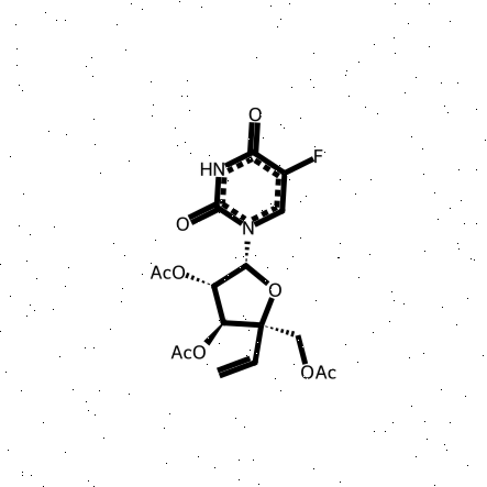 C=C[C@]1(COC(C)=O)O[C@@H](n2cc(F)c(=O)[nH]c2=O)[C@@H](OC(C)=O)[C@@H]1OC(C)=O